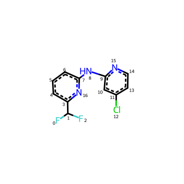 FC(F)c1cccc(Nc2cc(Cl)ccn2)n1